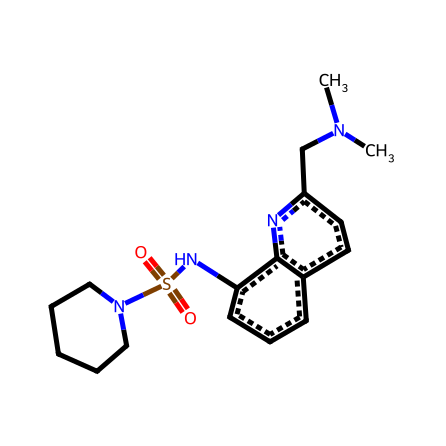 CN(C)Cc1ccc2cccc(NS(=O)(=O)N3CCCCC3)c2n1